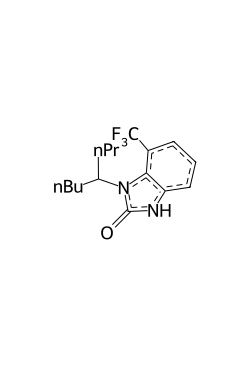 CCCCC(CCC)n1c(=O)[nH]c2cccc(C(F)(F)F)c21